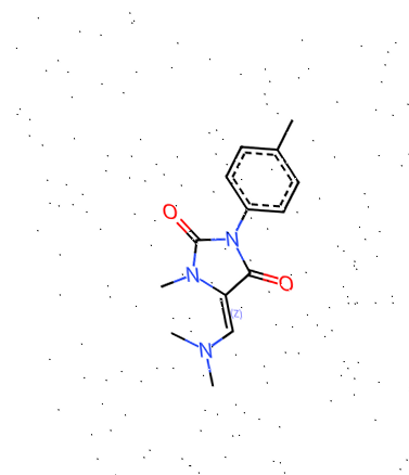 Cc1ccc(N2C(=O)/C(=C/N(C)C)N(C)C2=O)cc1